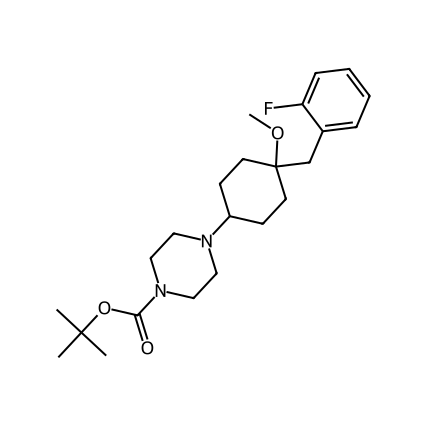 COC1(Cc2ccccc2F)CCC(N2CCN(C(=O)OC(C)(C)C)CC2)CC1